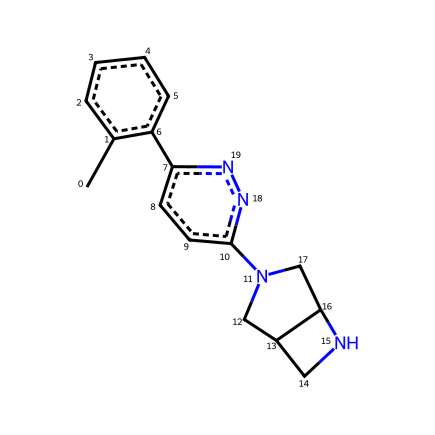 Cc1ccccc1-c1ccc(N2CC3CNC3C2)nn1